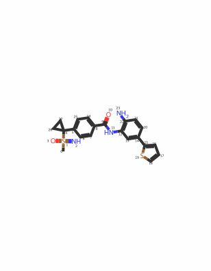 CS(=N)(=O)C1(c2ccc(C(=O)Nc3cc(-c4cccs4)ccc3N)cc2)CC1